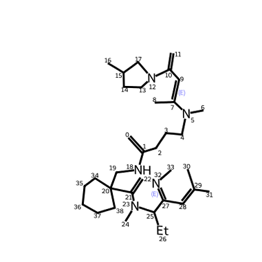 C=C(CCCN(C)/C(C)=C/C(=C)N1CCC(C)C1)NCC1(C(=C)N(C)C(CC)/C(C=C(C)C)=N/C)CCCCC1